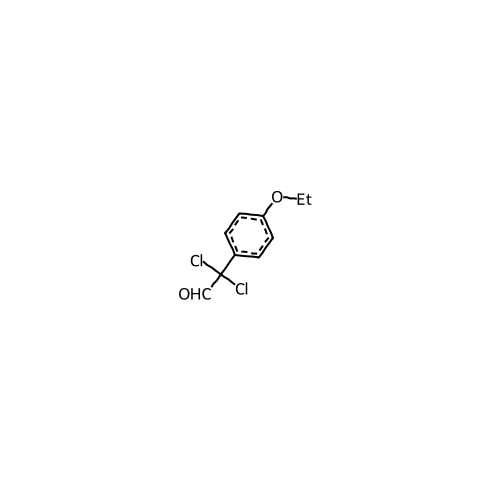 CCOc1ccc(C(Cl)(Cl)C=O)cc1